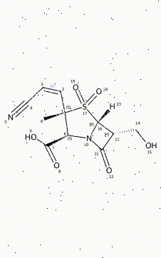 C[C@]1(/C=C\C#N)[C@H](C(=O)O)N2C(=O)[C@@H](CO)[C@H]2S1(=O)=O